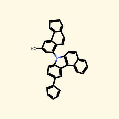 N#Cc1cc(-n2c3ccc(-c4ccccc4)cc3c3c4ccccc4ccc32)c2ccc3ccccc3c2c1